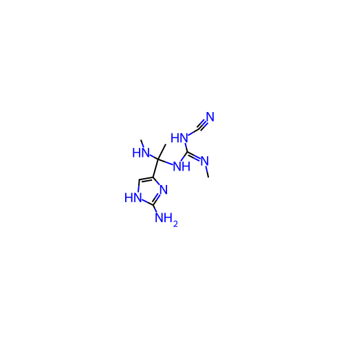 C/N=C(/NC#N)NC(C)(NC)c1c[nH]c(N)n1